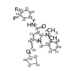 CN(C)c1c(C(=O)NCc2ccc(F)c(F)c2)cc(/C=C/OC2CCCC2)n1Cc1ccccc1